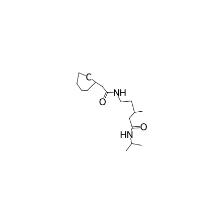 CC(CCNC(=O)CC1CCCCC1)CC(=O)NC(C)C